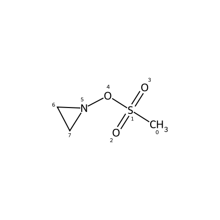 CS(=O)(=O)ON1CC1